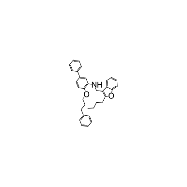 CCCCc1oc2ccccc2c1CNc1cc(-c2ccccc2)ccc1OCCCc1ccccc1